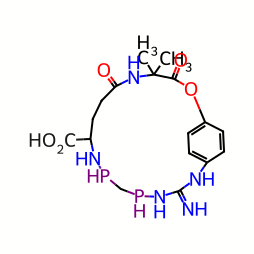 CC1(C)NC(=O)CCC(C(=O)O)NPCPNC(=N)Nc2ccc(cc2)OC1=O